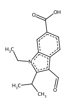 CCn1c(C(C)C)c(C=O)c2ccc(C(=O)O)cc21